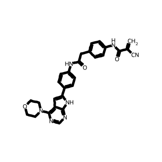 C=C(C#N)C(=O)Nc1ccc(CC(=O)Nc2ccc(-c3cc4c(N5CCOCC5)ncnc4[nH]3)cc2)cc1